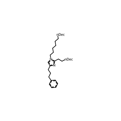 CCCCCCCCCCCCCCCCn1cc(CCCc2ccccc2)nc1CCCCCCCCCCCC